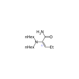 CC/C=C(\C(N)=O)N(CCCCCC)CCCCCC